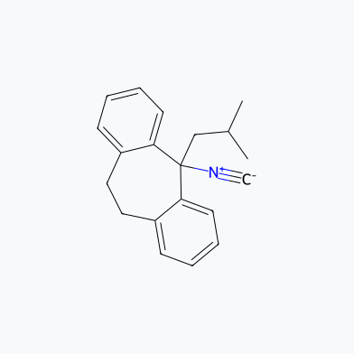 [C-]#[N+]C1(CC(C)C)c2ccccc2CCc2ccccc21